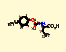 CCCc1ccc(OC(=O)NC(CC(C)C)C(=O)O)cc1